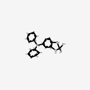 FC1(F)Oc2ccc(P(c3ccccc3)c3ccccc3)cc2O1